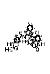 O=C(O)NC12CCC(C(=O)N[C@@H](Cc3ccccc3)C(=O)N3CCCC4(C3)OC(=O)Nc3ccc(Cl)c(F)c34)(CC1)CC2